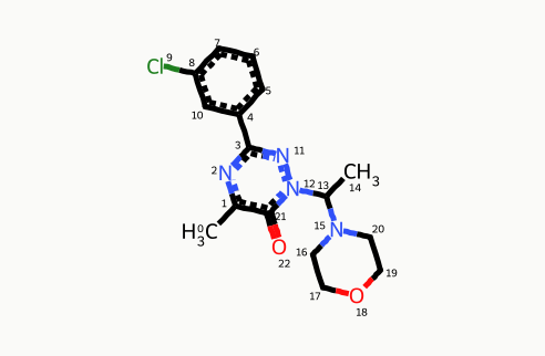 Cc1nc(-c2cccc(Cl)c2)nn(C(C)N2CCOCC2)c1=O